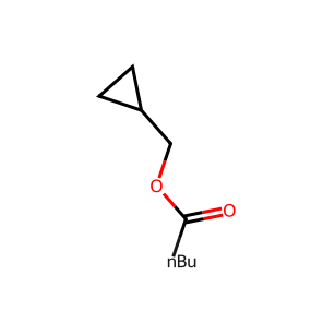 CCCCC(=O)OCC1CC1